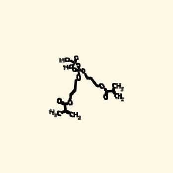 C=C(C)C(=O)OCCCOP(=O)(OCCCOC(=O)C(=C)C)OP(=O)(O)O